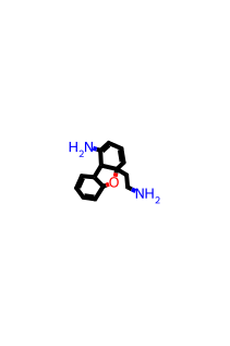 NCCC12C=CC=C(N)C1C1C=CC=CC1O2